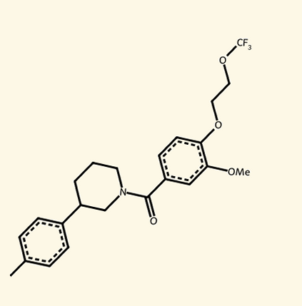 COc1cc(C(=O)N2CCCC(c3ccc(F)cc3)C2)ccc1OCCOC(F)(F)F